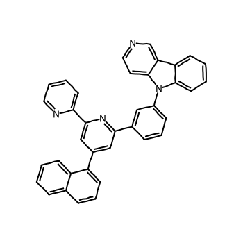 c1ccc(-c2cc(-c3cccc4ccccc34)cc(-c3cccc(-n4c5ccccc5c5cnccc54)c3)n2)nc1